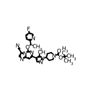 Cc1c(-c2cc3ncc(C#N)n3c(O[C@H](C)c3ccc(F)cn3)n2)cnn1C1CCN(C(=O)OC(C)(C)C)CC1